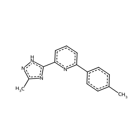 Cc1ccc(-c2cccc(-c3nc(C)n[nH]3)n2)cc1